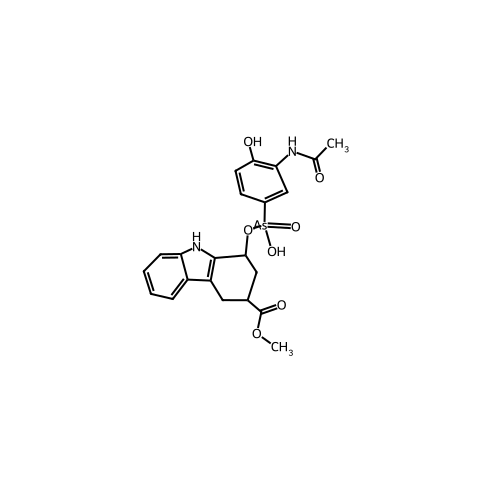 COC(=O)C1Cc2c([nH]c3ccccc23)C(O[As](=O)(O)c2ccc(O)c(NC(C)=O)c2)C1